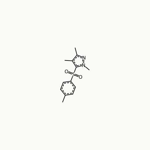 Cc1ccc(S(=O)(=O)c2c(C)c(C)nn2C)cc1